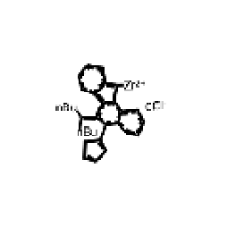 CCCCC(CCCC)=c1c(C2=CC=CC2)c2ccccc2c2c1=c1ccccc1=[C]2[Zr+2].[Cl-].[Cl-]